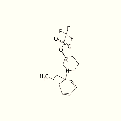 CCCC1(N2CCC[C@H](OS(=O)(=O)C(F)(F)F)C2)C=CC=CC1